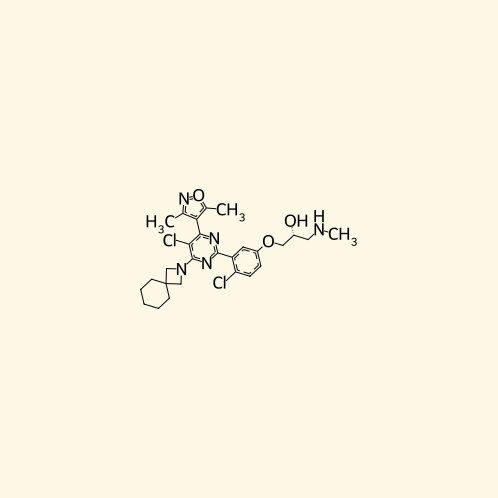 CNC[C@@H](O)COc1ccc(Cl)c(-c2nc(-c3c(C)noc3C)c(Cl)c(N3CC4(CCCCC4)C3)n2)c1